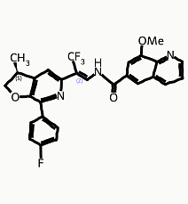 COc1cc(C(=O)N/C=C(/c2cc3c(c(-c4ccc(F)cc4)n2)OC[C@H]3C)C(F)(F)F)cc2cccnc12